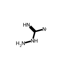 [N]C(=N)NN